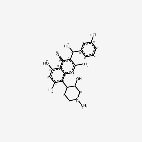 Cc1oc2c(C3CCN(C)CC3O)c(O)cc(O)c2c(=O)c1C(O)c1cccc(Cl)c1